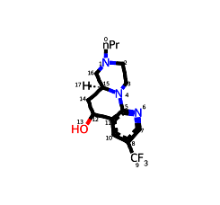 CCCN1CCN2c3ncc(C(F)(F)F)cc3C(O)C[C@H]2C1